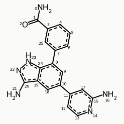 NC(=O)c1cccc(-c2cc(-c3ccnc(N)c3)cc3c(N)n[nH]c23)c1